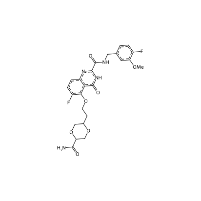 COc1cc(CNC(=O)c2nc3ccc(F)c(OCCC4COC(C(N)=O)CO4)c3c(=O)[nH]2)ccc1F